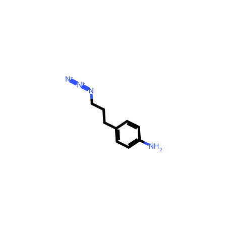 [N-]=[N+]=NCCCc1ccc(N)cc1